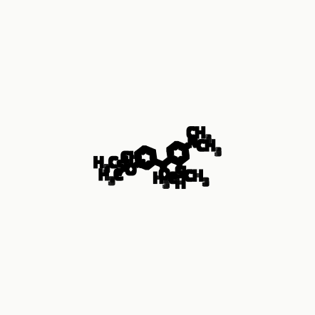 CN(C)c1ccc(C(=O)c2cccc(O[Si](C)(C)C)c2)c([SiH](C)C)c1